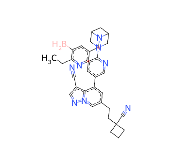 Bc1cc(CN2C3CC2CN(c2ccc(-c4cc(CCC5(C#N)CCC5)cn5ncc(C#N)c45)cn2)C3)cnc1CC